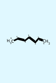 C=C/C=[C]/C=CC